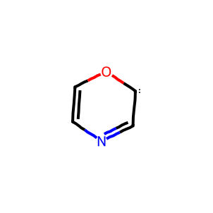 [C]1C=NC=CO1